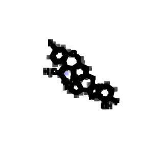 C/C(C#N)=C1/c2ccc(Cc3c(C4CCOC4)nc4c(O)c(F)ccn34)cc2COc2cc(F)ccc21